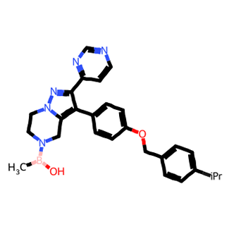 CB(O)N1CCn2nc(-c3ccncn3)c(-c3ccc(OCc4ccc(C(C)C)cc4)cc3)c2C1